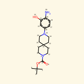 CC(C)(C)OC(=O)N1CCC2(CC1)CCN(c1ccc(N)c(O)c1)CC2